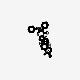 CN1C(=O)CC[C@@]2(C)C1=CC[C@H]1[C@@H]3CC[C@H](C(=O)N(C(=S)NC4CCCCC4)C4CCCCC4)[C@@]3(C)CC[C@@H]12